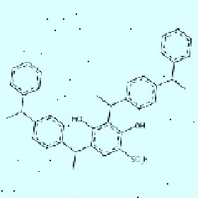 CC(c1ccccc1)c1ccc(C(C)c2cc(S(=O)(=O)O)c(O)c(C(C)c3ccc(C(C)c4ccccc4)cc3)c2O)cc1